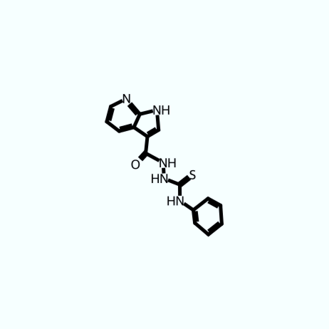 O=C(NNC(=S)Nc1ccccc1)c1c[nH]c2ncccc12